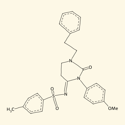 COc1ccc(N2C(=O)N(CCc3ccccc3)CCC2=NS(=O)(=O)c2ccc(C)cc2)cc1